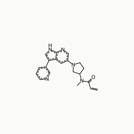 C=CC(=O)N(C)C1CCN(c2cnc3[nH]cc(-c4cccnc4)c3c2)C1